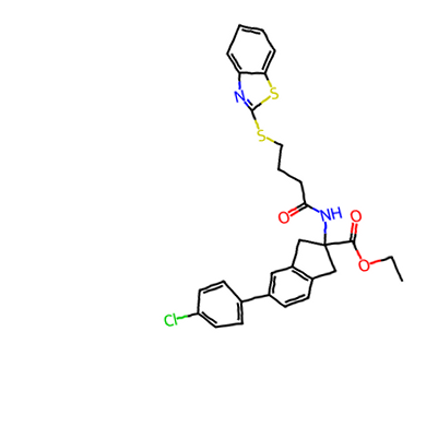 CCOC(=O)C1(NC(=O)CCCSc2nc3ccccc3s2)Cc2ccc(-c3ccc(Cl)cc3)cc2C1